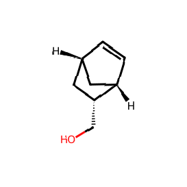 OC[C@@H]1C[C@@H]2C=C[C@H]1C2